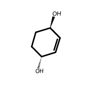 O[C@H]1C=C[C@H](O)CC1